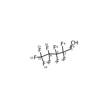 [CH]=CC(F)(F)C(F)(F)C(F)(F)C(F)(F)F